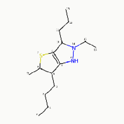 CCCCC1C2=C(SC1C)C(CCC)N(CC)N2